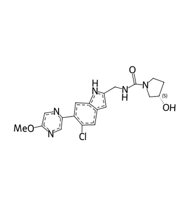 COc1cnc(-c2cc3[nH]c(CNC(=O)N4CC[C@H](O)C4)cc3cc2Cl)cn1